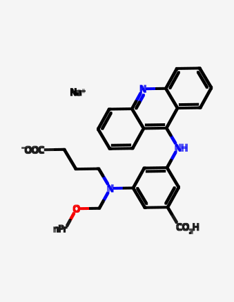 CCCOCN(CCCC(=O)[O-])c1cc(Nc2c3ccccc3nc3ccccc23)cc(C(=O)O)c1.[Na+]